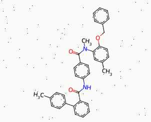 Cc1ccc(-c2ccccc2C(=O)Nc2ccc(C(=O)N(C)c3cc(C)ccc3OCc3ccccc3)cc2)cc1